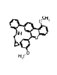 COc1cccc(C2Oc3cccc(OC)c3-c3ccc(-c4ccccc4NCC4CC4)cc32)c1